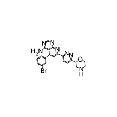 Nc1ncnc2nc(-c3ccc(C4CNCCO4)nn3)cc(-c3cccc(Br)c3)c12